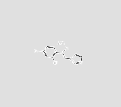 Cl.Clc1ccc(C(Cl)Cn2ccnc2)c(Cl)c1